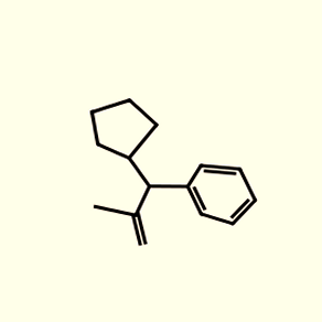 C=C(C)C(c1ccccc1)C1CCCC1